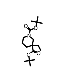 CCC1(C(=O)OC(C)(C)C)CCCN(C(=O)OC(C)(C)C)C1